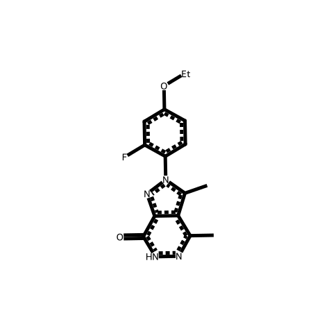 CCOc1ccc(-n2nc3c(=O)[nH]nc(C)c3c2C)c(F)c1